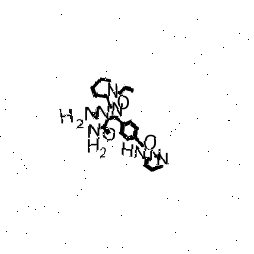 C=CC(=O)N1CCCCC1c1nc(-c2ccc(C(=O)Nc3cccnn3)cc2)c(C(N)=O)n1N